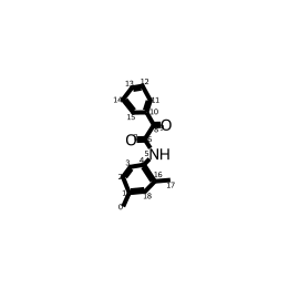 Cc1ccc(NC(=O)C(=O)c2ccccc2)c(C)c1